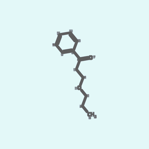 CCCOCCC(=O)c1cc[c]cc1